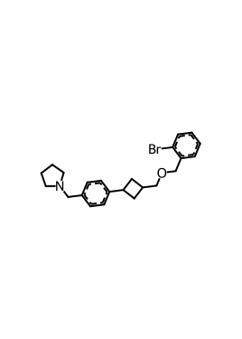 Brc1ccccc1COCC1CC(c2ccc(CN3CCCC3)cc2)C1